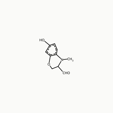 CN1c2ccc(O)cc2OCC1C=O